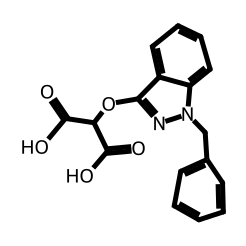 O=C(O)C(Oc1nn(Cc2ccccc2)c2ccccc12)C(=O)O